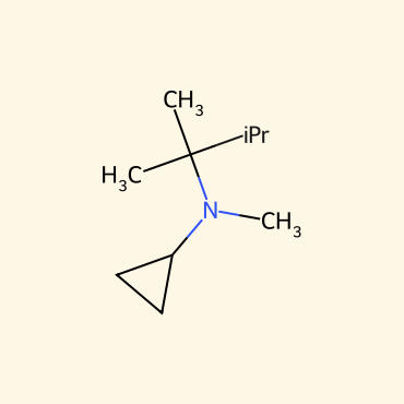 CC(C)C(C)(C)N(C)C1CC1